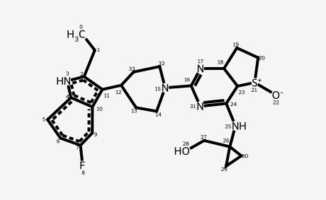 CCc1[nH]c2ccc(F)cc2c1C1CCN(C2=NC3CC[S+]([O-])C3C(NC3(CO)CC3)=N2)CC1